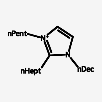 CCCCCCCCCCn1cc[n+](CCCCC)c1CCCCCCC